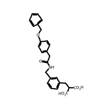 O=C(Cc1ccc(OCc2ccccc2)cc1)NCc1cccc(CC(C(=O)O)C(=O)O)c1